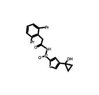 CC(C)c1cccc(C(C)C)c1CC(=O)N[S+]([O-])c1cc(C2(O)CC2)cs1